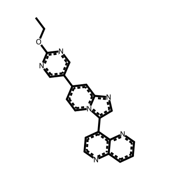 CCOc1ncc(-c2ccn3c(-c4ccnc5cccnc45)cnc3c2)cn1